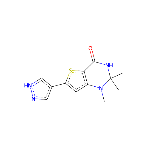 CN1c2cc(-c3cn[nH]c3)sc2C(=O)NC1(C)C